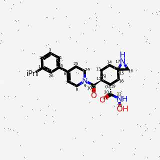 CC(C)c1cccc(C2=CCN(C(=O)[C@H]3CCC4(CN4)C[C@@H]3C(=O)NO)CC2)c1